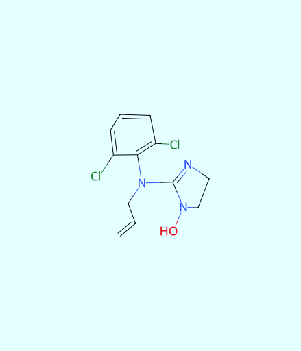 C=CCN(C1=NCCN1O)c1c(Cl)cccc1Cl